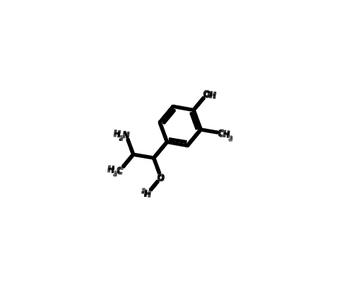 [2H]OC(c1ccc(O)c(C)c1)C(C)N